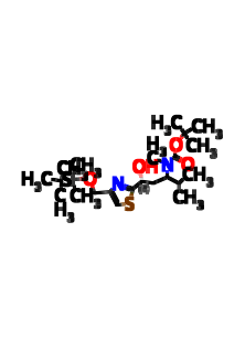 CC(C)C(C[C@@H](O)c1nc(CO[Si](C)(C)C(C)(C)C)cs1)N(C)C(=O)OC(C)(C)C